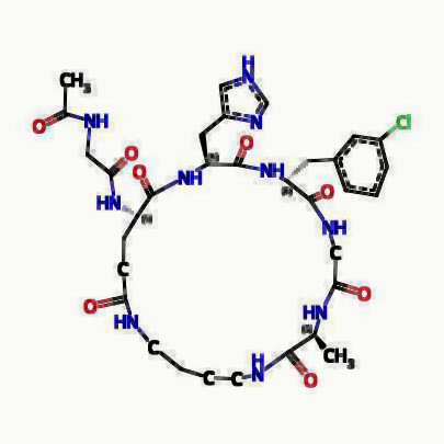 CC(=O)NCC(=O)N[C@H]1CCC(=O)NCCCCNC(=O)[C@H](C)NC(=O)CNC(=O)[C@@H](Cc2cccc(Cl)c2)NC(=O)[C@H](Cc2c[nH]cn2)NC1=O